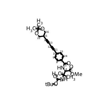 COC(=O)[C@@H](NC(=O)c1ccc(C#CC#CC2COC(C)(C)OC2)cc1)C(C)(C)NC(=O)OC(C)(C)C